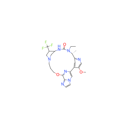 CCN1C(=O)NC2CN(CCCOc3nc(cn4ccnc34)-c3cc(ncc3OC)[C@H]1C)CC2C(F)(F)F